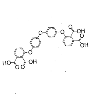 O=C(O)c1cccc(Oc2ccc(Oc3ccc(Oc4cccc(C(=O)O)c4C(=O)O)cc3)cc2)c1C(=O)O